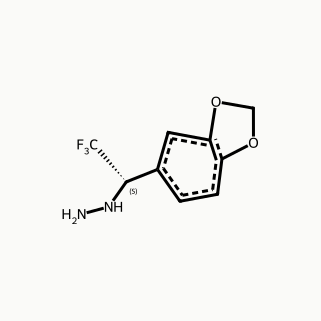 NN[C@@H](c1ccc2c(c1)OCO2)C(F)(F)F